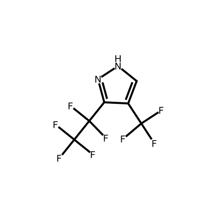 FC(F)(F)c1c[nH]nc1C(F)(F)C(F)(F)F